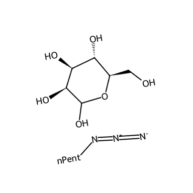 CCCCCN=[N+]=[N-].OC[C@H]1OC(O)[C@@H](O)[C@@H](O)[C@@H]1O